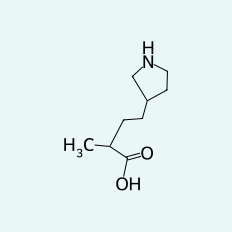 CC(CCC1CCNC1)C(=O)O